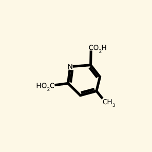 Cc1cc(C(=O)O)nc(C(=O)O)c1